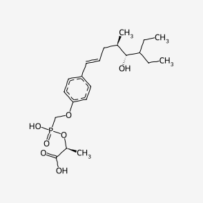 CCC(CC)[C@H](O)[C@H](C)C/C=C/c1ccc(OCP(=O)(O)O[C@@H](C)C(=O)O)cc1